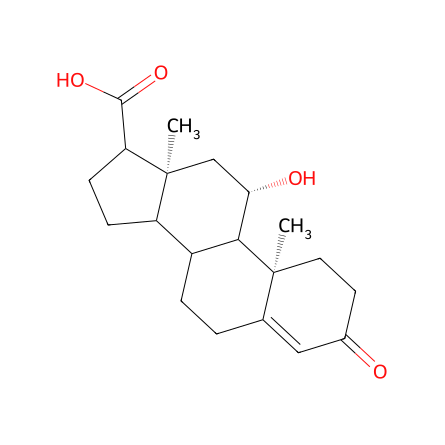 C[C@]12C[C@H](O)C3C(CCC4=CC(=O)CC[C@@]43C)C1CCC2C(=O)O